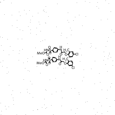 COC(=O)NS(=O)(=O)c1ccc(NC(=O)COc2cc(Cl)ccc2C)cc1.COC(=O)NS(=O)(=O)c1ccc(NC(=O)COc2ccc(Cl)cc2C)cc1